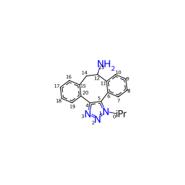 CC(C)n1nnc2c1-c1ccccc1C(N)Cc1ccccc1-2